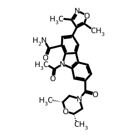 CC(=O)n1c2cc(C(=O)N3C[C@@H](C)O[C@@H](C)C3)ccc2c2cc(-c3c(C)noc3C)cc(C(N)=O)c21